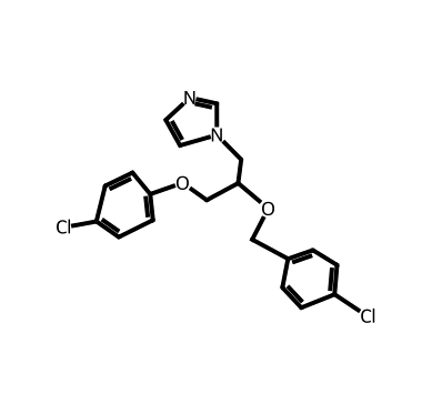 Clc1ccc(COC(COc2ccc(Cl)cc2)Cn2ccnc2)cc1